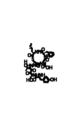 CSCC[C@@H]1NCC(=O)[C@H](Cc2ccccc2)NC(=O)[C@H](CC(=O)O)NC(=O)[C@@H](NN[C@H](C(=O)C(=O)[C@H](CO)NC(=O)[C@@H](N)Cc2ccc(O)cc2)[C@@H](C)O)CSC1=O